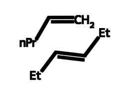 C=CCCC.CCC=CCC